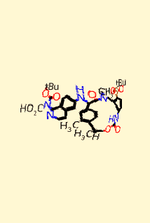 Cc1cc2ccc1[C@@H](C)COC(=O)Nc1ccc(S(=O)(=O)C(C)(C)C)c(c1)CN(C)C(=O)C2Nc1ccc2c(N(C(=O)O)C(=O)OC(C)(C)C)nccc2c1